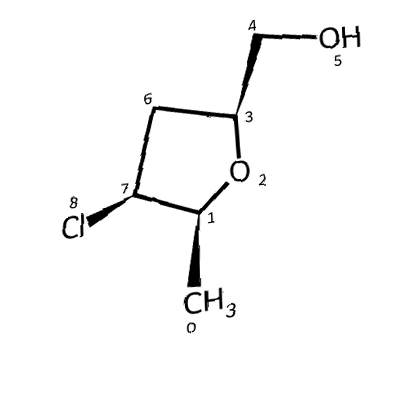 C[C@@H]1O[C@H](CO)C[C@@H]1Cl